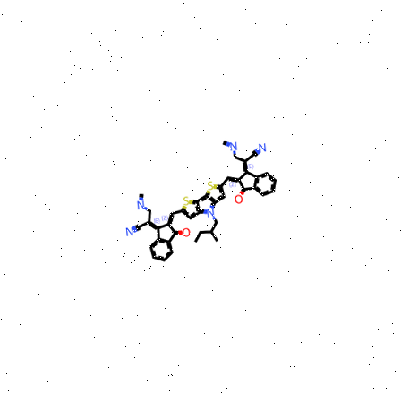 C=NC/C(C#N)=C1\C(=C\c2cc3c(s2)c2sc(/C=C4\C(=O)c5ccccc5\C4=C(/C#N)CN=C)cc2n3CC(C)CC)C(=O)c2ccccc21